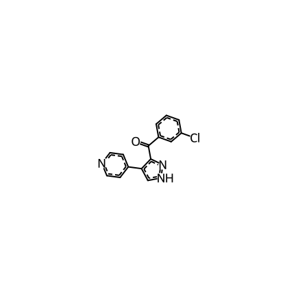 O=C(c1cccc(Cl)c1)c1n[nH]cc1-c1ccncc1